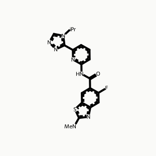 CNc1nc2cc(F)c(C(=O)Nc3cccc(-c4nncn4C(C)C)n3)cc2s1